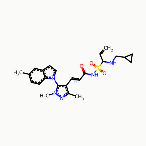 C=CC(NCC1CC1)S(=O)(=O)NC(=O)/C=C/c1c(C)nn(C)c1-n1ccc2cc(C)ccc21